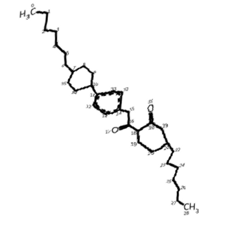 CCCCCCCC1CCC(c2ccc(CC(=O)C3CCC(CCCCCCC)CC3=O)cc2)CC1